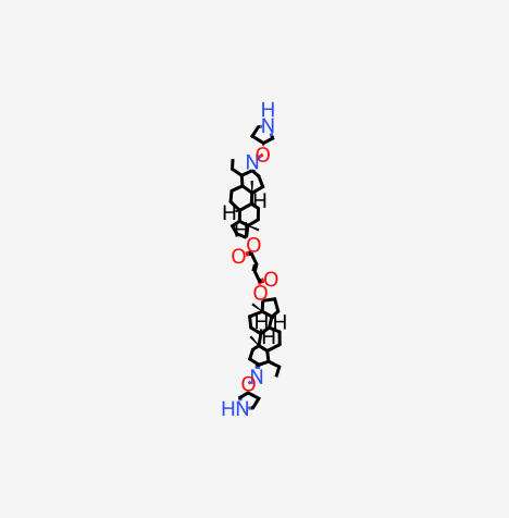 CCC1/C(=N/O[C@@H]2CCNC2)CC[C@@]2(C)C1CC[C@@H]1[C@H]2CC[C@]2(C)C(OC(=O)/C=C/C(=O)OC3CC[C@H]4[C@@H]5CCC6C(CC)/C(=N/O[C@@H]7CCNC7)CC[C@]6(C)[C@@H]5CC[C@]34C)CC[C@@H]12